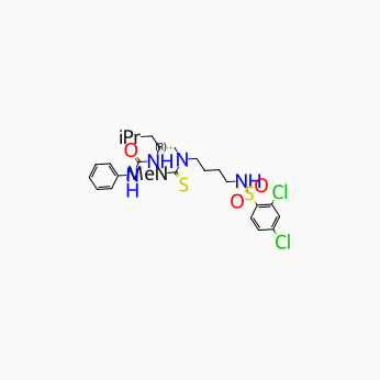 CNC(=S)N(CCCCNS(=O)(=O)c1ccc(Cl)cc1Cl)C[C@@H](CC(C)C)NC(=O)Nc1ccccc1